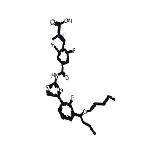 CCCCCOC(CCC)c1cccc(-c2csc(NC(=O)c3cc(F)c(/C=C(\C)C(=O)O)c(F)c3)n2)c1F